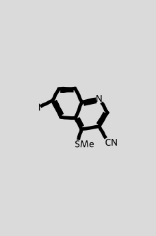 CSc1c(C#N)cnc2ccc(I)cc12